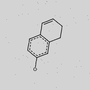 [O]c1ccc2c(c1)CCC=C2